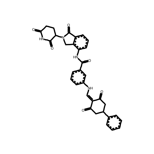 O=C1CCC(N2Cc3c(NC(=O)c4cccc(NC=C5C(=O)CC(c6ccccc6)CC5=O)c4)cccc3C2=O)C(=O)N1